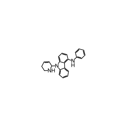 C1=CC(n2c3ccccc3c3c(Nc4ccccc4)cccc32)NCC1